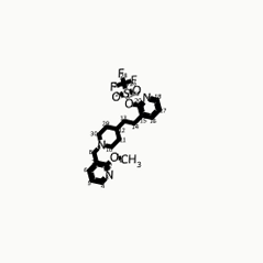 COc1ncccc1CN1CCC(CCc2cccnc2OS(=O)(=O)C(F)(F)F)CC1